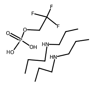 CCCNCCC.CCCNCCC.O=P(O)(O)OCC(F)(F)F